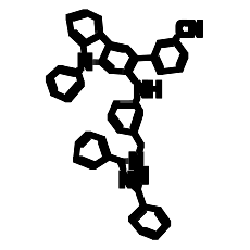 N#Cc1cccc(-c2cc3c4ccccc4n(-c4ccccc4)c3cc2Nc2cccc(CN3C(c4ccccc4)[N@]4C(c5ccccc5)N34)c2)c1